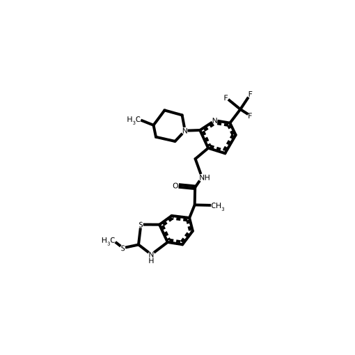 CSC1Nc2ccc(C(C)C(=O)NCc3ccc(C(F)(F)F)nc3N3CCC(C)CC3)cc2S1